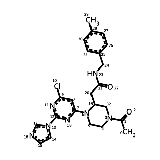 CC(=O)N1CCN(c2cc(Cl)nc(-n3ccnc3)n2)C(CC(=O)NCc2ccc(C)cc2)C1